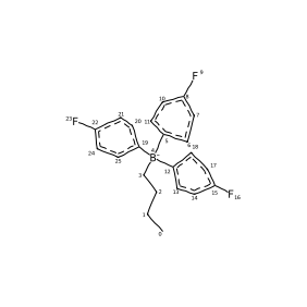 CCCC[B-](c1ccc(F)cc1)(c1ccc(F)cc1)c1ccc(F)cc1